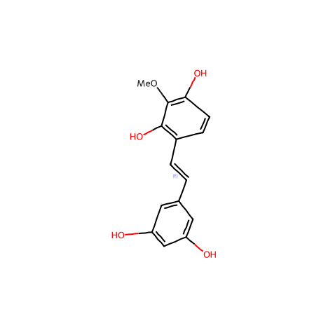 COc1c(O)ccc(/C=C/c2cc(O)cc(O)c2)c1O